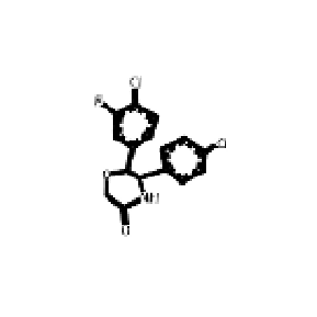 O=C1COC(c2ccc(Cl)c(F)c2)C(c2ccc(Cl)cc2)N1